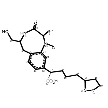 CC(C)C1C(=O)NC(CO)Cc2ccc([C@H](CCCC3CCSS3)C(=O)O)cc2N1C